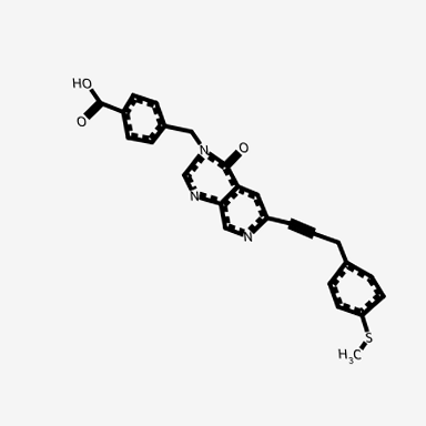 CSc1ccc(CC#Cc2cc3c(=O)n(Cc4ccc(C(=O)O)cc4)cnc3cn2)cc1